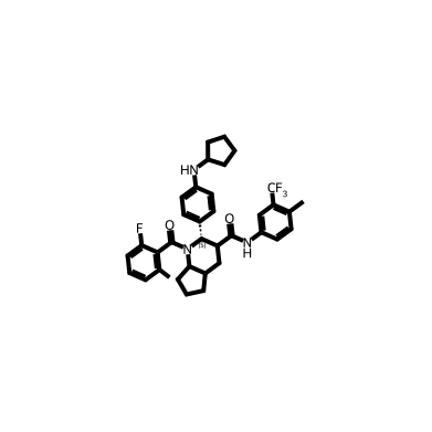 Cc1ccc(NC(=O)C2CC3CCCC3N(C(=O)c3c(C)cccc3F)[C@@H]2c2ccc(NC3CCCC3)cc2)cc1C(F)(F)F